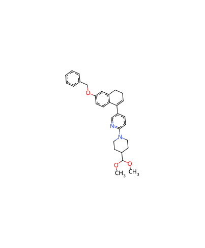 COC(OC)C1CCN(c2ccc(C3=CCCc4cc(OCc5ccccc5)ccc43)cn2)CC1